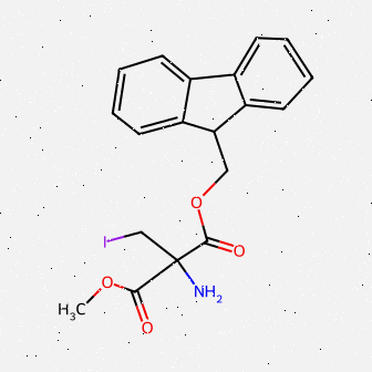 COC(=O)C(N)(CI)C(=O)OCC1c2ccccc2-c2ccccc21